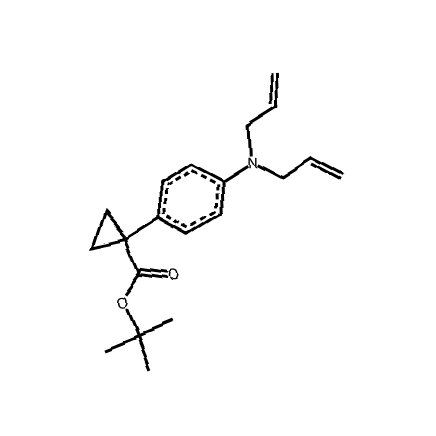 C=CCN(CC=C)c1ccc(C2(C(=O)OC(C)(C)C)CC2)cc1